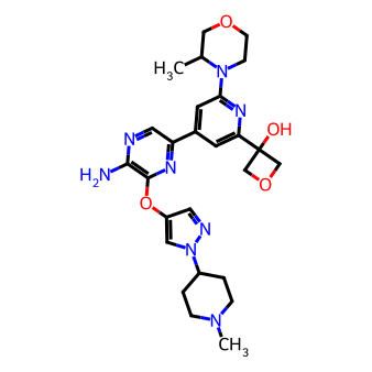 CC1COCCN1c1cc(-c2cnc(N)c(Oc3cnn(C4CCN(C)CC4)c3)n2)cc(C2(O)COC2)n1